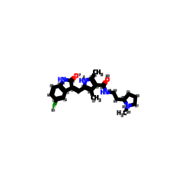 Cc1[nH]c(/C=C2\C(=O)Nc3ccc(F)cc32)c(C)c1C(=O)NCCC1CCCN1C